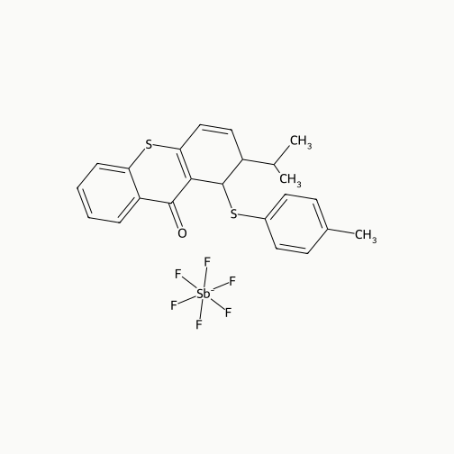 Cc1ccc(SC2c3c(sc4ccccc4c3=O)C=CC2C(C)C)cc1.[F][Sb-]([F])([F])([F])([F])[F]